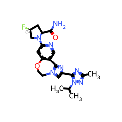 Cc1nc(-c2cn3c(n2)-c2cnc(N4C[C@@H](F)CC4C(N)=O)cc2OCC3)n(C(C)C)n1